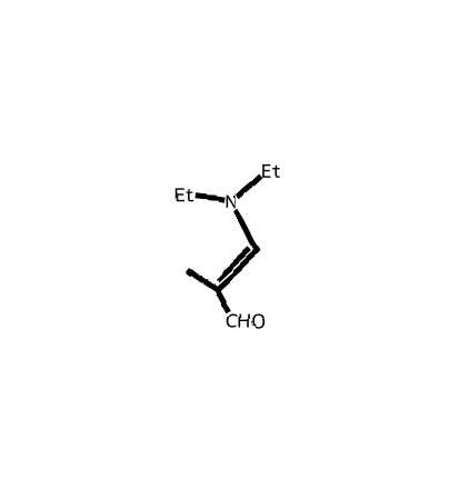 CCN(C=C(C)C=O)CC